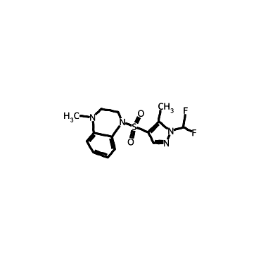 Cc1c(S(=O)(=O)N2CCN(C)c3ccccc32)cnn1C(F)F